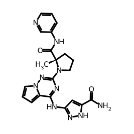 C[C@@]1(C(=O)Nc2cccnc2)CCCN1c1nc(Nc2cc(C(N)=O)[nH]n2)c2cccn2n1